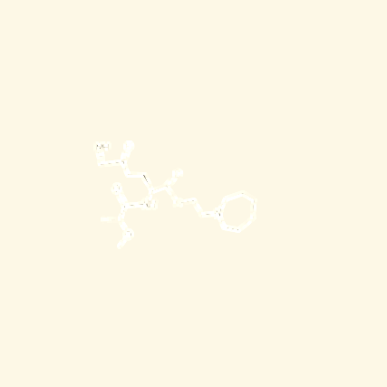 CO[C@H](C)C(=O)N[C@@H](CCC(=O)C=N)C(=O)OCCN1CCCCCC1